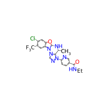 CCNC(=O)c1ccc(-n2ncnc2C(C)Nc2nc3cc(C(F)(F)F)c(Cl)cc3o2)nc1